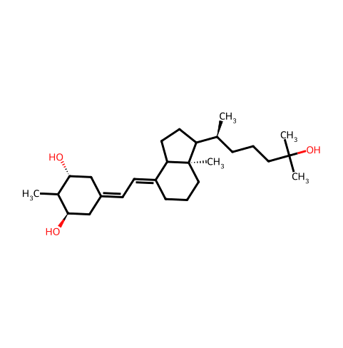 CC1[C@H](O)CC(=C/C=C2\CCC[C@@]3(C)C2CCC3[C@@H](C)CCCC(C)(C)O)C[C@H]1O